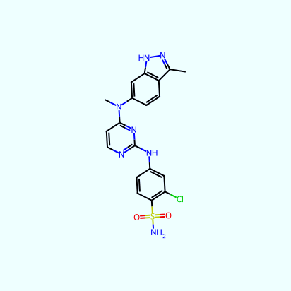 Cc1n[nH]c2cc(N(C)c3ccnc(Nc4ccc(S(N)(=O)=O)c(Cl)c4)n3)ccc12